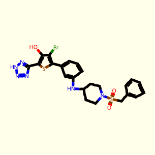 O=S(=O)(Cc1ccccc1)N1CCC(Nc2cccc(-c3sc(-c4nn[nH]n4)c(O)c3Br)c2)CC1